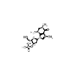 CN1CN(C)c2c([n+](C)cn2[C@H]2C[C@H](OP(=O)(O)O)[C@@H](CO)O2)C1=O